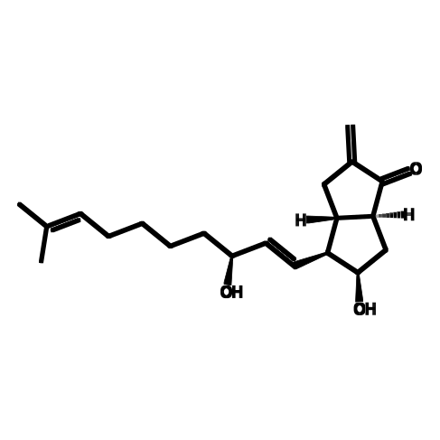 C=C1C[C@H]2[C@H](C=C[C@@H](O)CCCCC=C(C)C)[C@H](O)C[C@@H]2C1=O